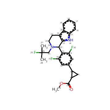 COC(=O)C1CC1c1cc(F)c(C2c3[nH]c4ccccc4c3CCN2CC(C)(C)F)c(F)c1